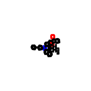 CC1(C)c2cc(C=C3C(=O)c4ccccc4C3=O)ccc2N(c2ccc(-c3ccccc3)cc2)c2ccc3ccccc3c21